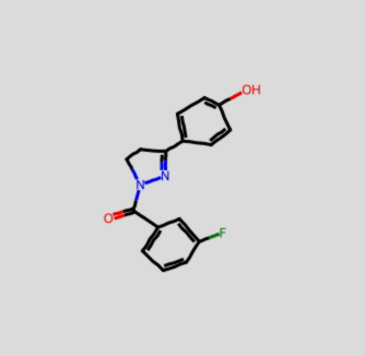 O=C(c1cccc(F)c1)N1CCC(c2ccc(O)cc2)=N1